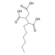 CCCCCCC(C(=O)O)C(CC(=O)O)C(=O)O